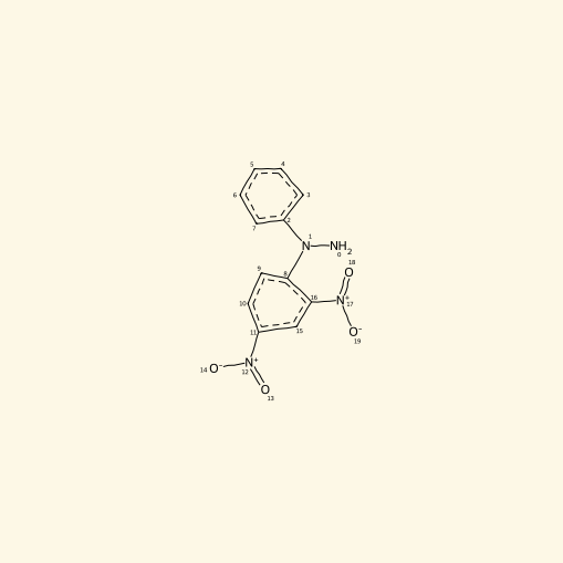 NN(c1ccccc1)c1ccc([N+](=O)[O-])cc1[N+](=O)[O-]